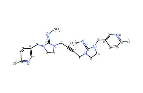 O=[N+]([O-])/N=C1\N(CC#CCN2CCN(Cc3ccc(Cl)nc3)/C2=N/[N+](=O)[O-])CCN1Cc1ccc(Cl)nc1